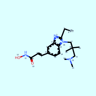 CC(C)Cc1nc2cc(C=CC(=O)NO)ccc2n1CC(C)(C)CN(C)C